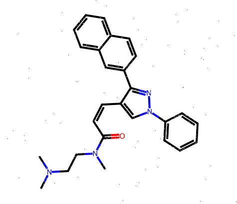 CN(C)CCN(C)C(=O)/C=C\c1cn(-c2ccccc2)nc1-c1ccc2ccccc2c1